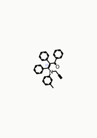 C#CCN(/C(=C(\C(=O)c1ccccc1)c1ccccc1)c1ccccc1)c1cccc(C)c1